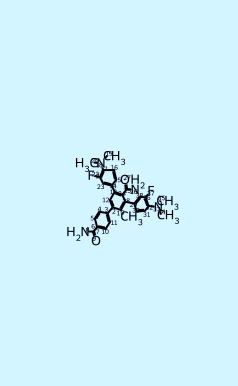 Cc1c(-c2ccc(C(N)=O)cc2)cc(-c2ccc(N(C)C)c(F)c2)c(C(N)=O)c1-c1ccc(N(C)C)c(F)c1